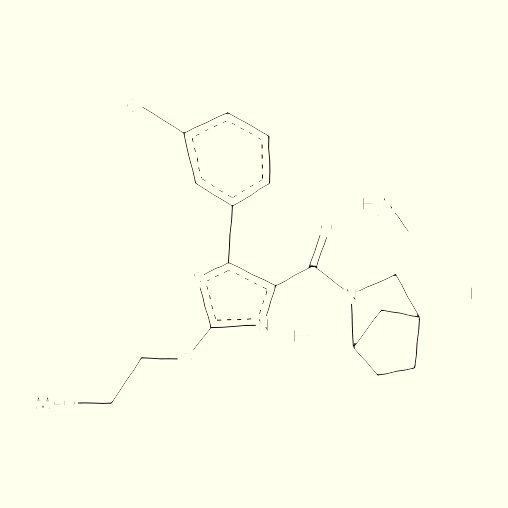 COCCOc1nc(C(=O)N2[C@@H]3CC[C@@H](C3)[C@H]2CN)c(-c2cccc(Cl)c2)s1